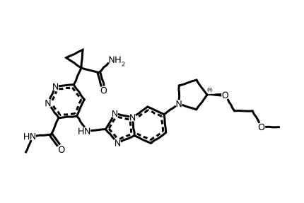 CNC(=O)c1nnc(C2(C(N)=O)CC2)cc1Nc1nc2ccc(N3CC[C@@H](OCCOC)C3)cn2n1